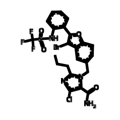 CCCc1nc(Cl)c(C(N)=O)n1Cc1ccc2oc(-c3ccccc3NS(=O)(=O)C(F)(F)F)c(Br)c2c1